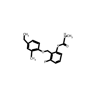 CCc1ccc(OCc2c(F)cccc2SC(=O)NC)c(C)c1